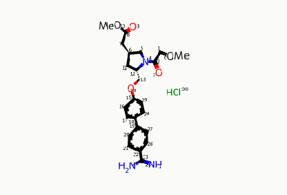 COCC(=O)N1C[C@H](CC(=O)OC)C[C@H]1COc1ccc(-c2ccc(C(=N)N)cc2)cc1.Cl